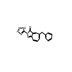 O=c1c2cc(Cc3ccccc3)cccc-2nn1-c1nnn[nH]1